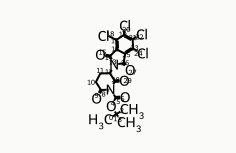 CC(C)(C)OC(=O)N1C(=O)CCC(N2C(=O)c3c(Cl)c(Cl)c(Cl)c(Cl)c3C2=O)C1=O